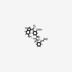 COc1cc(C(=O)NS(=O)(=O)c2ccccc2OCCCl)ccc1C(C)c1c[nH]c2ccc(N)cc12